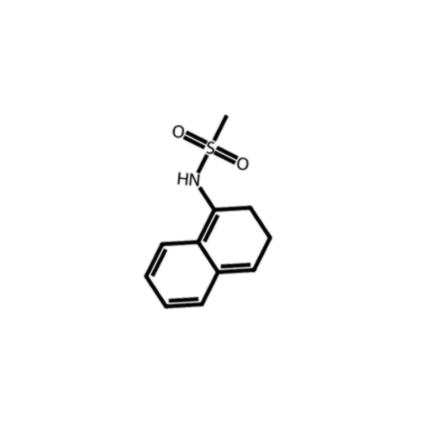 CS(=O)(=O)NC1=c2ccccc2=CCC1